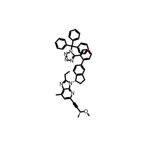 CCc1nc2c(C)cc(C#C[C@H](C)OC)nc2n1[C@H]1CCc2cc(-c3ccccc3-c3nnnn3C(c3ccccc3)(c3ccccc3)c3ccccc3)ccc21